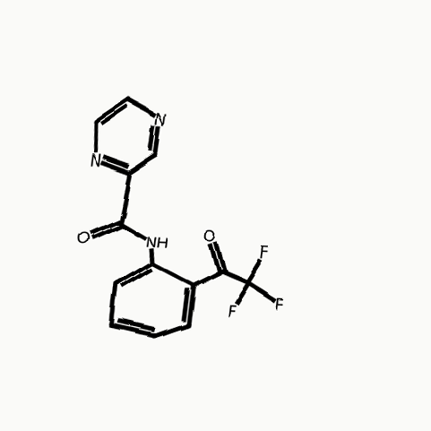 O=C(Nc1ccccc1C(=O)C(F)(F)F)c1cnccn1